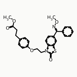 CON=C(c1ccccc1)c1ccc2c(c1)sc(=O)n2CCOc1ccc(CCC(=O)OC)cc1